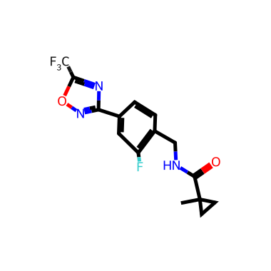 CC1(C(=O)NCc2ccc(-c3noc(C(F)(F)F)n3)cc2F)CC1